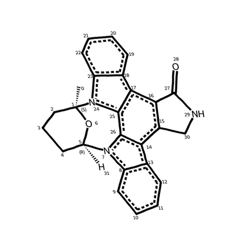 C[C@@]12CCC[C@@H](O1)n1c3ccccc3c3c4c(c5c6ccccc6n2c5c31)C(=O)NC4